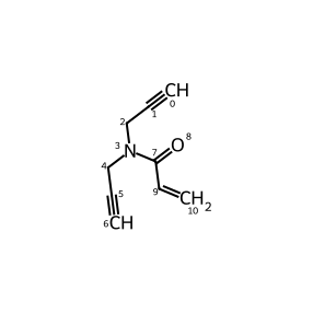 C#CCN(CC#C)C(=O)C=C